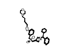 O=S(=O)(C=C1CN(C(c2ccccc2)c2ccccc2)C1)Cc1cccc(OCCCCN2CCOCC2)c1